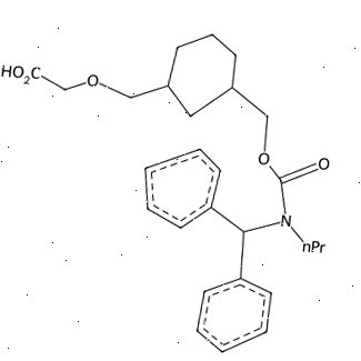 CCCN(C(=O)OCC1CCCC(COCC(=O)O)C1)C(c1ccccc1)c1ccccc1